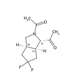 CC(=O)[C@@H]1[C@H]2CC(F)(F)C[C@H]2CN1C(C)=O